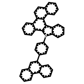 c1ccc2c(c1)cc(-c1ccc(-n3c4ccccc4c4c5c6ccccc6ccc5c5ccccc5c43)cc1)c1ccccc12